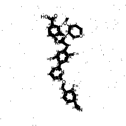 CO[C@@H]1CCOC[C@@H]1n1c(Cc2cc(F)c(-c3cccc(OCc4ccc(C#N)cc4F)n3)cc2F)nc2ccc(C(=O)O)cc21